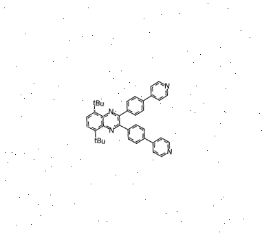 CC(C)(C)c1ccc(C(C)(C)C)c2nc(-c3ccc(-c4ccncc4)cc3)c(-c3ccc(-c4ccncc4)cc3)nc12